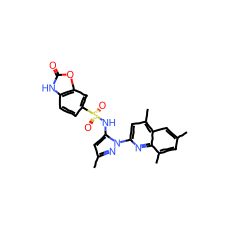 Cc1cc(C)c2nc(-n3nc(C)cc3NS(=O)(=O)c3ccc4[nH]c(=O)oc4c3)cc(C)c2c1